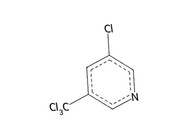 Clc1cncc(C(Cl)(Cl)Cl)c1